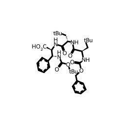 CC(C)(C)C[C@H](NC(=O)[C@@H](CC(C)(C)C)NC(=O)OCc1ccccc1)C(=O)N[C@H](C(=O)O)[C@H](NC(=O)OC(C)(C)C)c1ccccc1